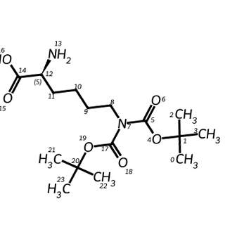 CC(C)(C)OC(=O)N(CCCC[C@H](N)C(=O)O)C(=O)OC(C)(C)C